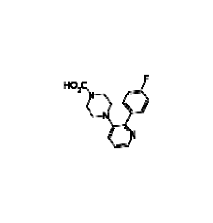 O=C(O)N1CCN(c2cccnc2-c2ccc(F)cc2)CC1